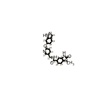 Cn1c(=O)[nH]c2cc(C(=O)NCc3ccc(Oc4ccc5cn[nH]c5c4)nc3)ccc21